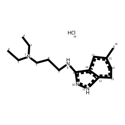 CCN(CC)CCCNc1n[nH]c2ccc(I)cc12.Cl